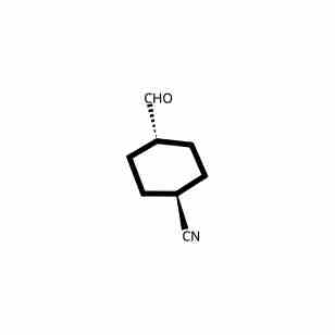 N#C[C@H]1CC[C@H](C=O)CC1